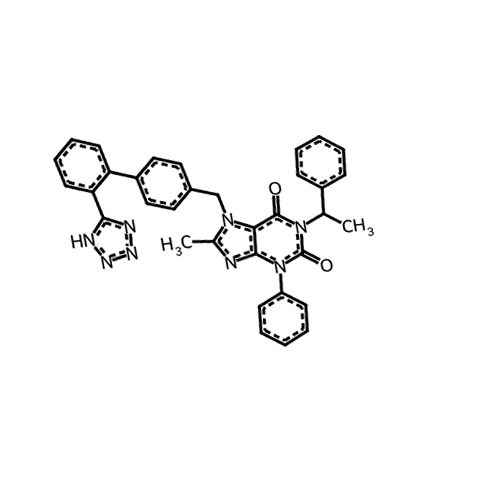 Cc1nc2c(c(=O)n(C(C)c3ccccc3)c(=O)n2-c2ccccc2)n1Cc1ccc(-c2ccccc2-c2nnn[nH]2)cc1